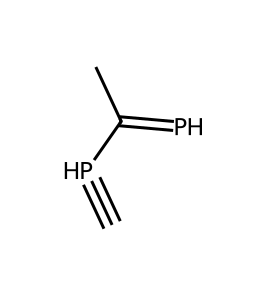 C#[PH]C(C)=P